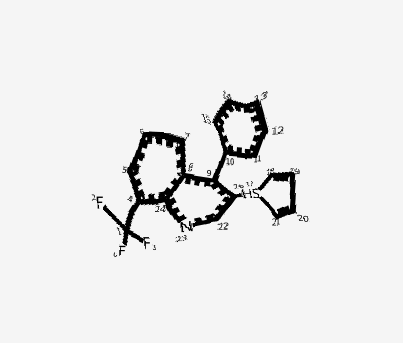 FC(F)(F)c1cccc2c(-c3ccccc3)c([SH]3C=CC=C3)cnc12